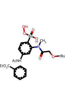 CCCCOCC(=O)N(C)c1cc(NC(C)=O)ccc1[As](=O)(O)OO.CCOC(=O)c1ccccc1